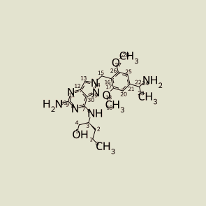 CCC[C@@H](CO)Nc1nc(N)nc2cn(Cc3c(OC)cc(C(C)N)cc3OC)nc12